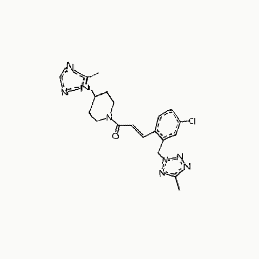 Cc1nnn(Cc2cc(Cl)ccc2C=CC(=O)N2CCC(n3ncnc3C)CC2)n1